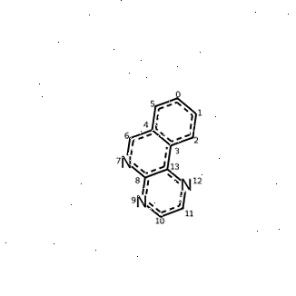 c1ccc2c(c1)cnc1nccnc12